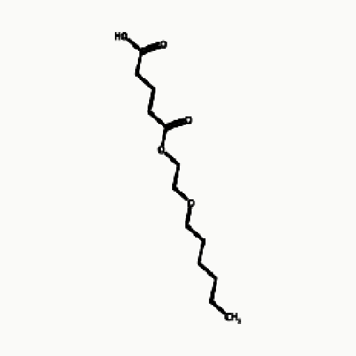 CCCCCCOCCOC(=O)CCCC(=O)O